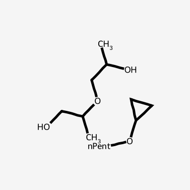 CC(O)COC(C)CO.CCCCCOC1CC1